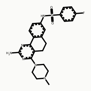 CN1CCN(c2nc(N)nc3c2CCc2cc(NS(=O)(=O)c4ccc(F)cc4)ccc2-3)CC1